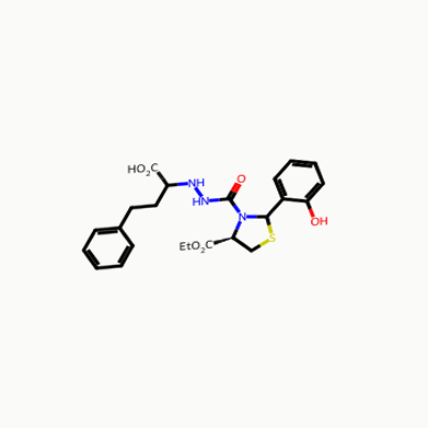 CCOC(=O)[C@@H]1CSC(c2ccccc2O)N1C(=O)NNC(CCc1ccccc1)C(=O)O